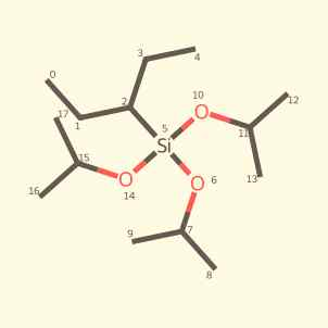 CCC(CC)[Si](OC(C)C)(OC(C)C)OC(C)C